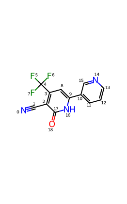 N#Cc1c(C(F)(F)F)cc(-c2cccnc2)[nH]c1=O